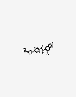 CCN[C@@H]1CCN(c2cnc(C(=O)Nc3cc4cn(C)nc4cc3OC)cn2)C1